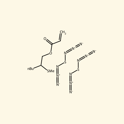 C=CC(=O)OCC(CCCC)SC.[N-]=[N+]=NSN=[N+]=[N-].[N-]=[N+]=NSN=[N+]=[N-]